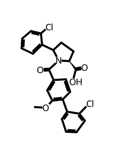 COc1cc(C(=O)N2C(c3ccccc3Cl)CC[C@H]2C(=O)O)ccc1-c1ccccc1Cl